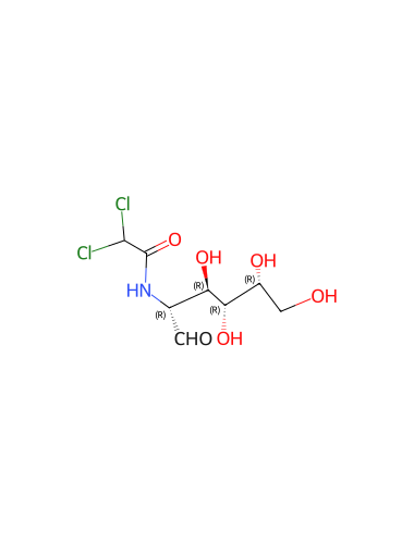 O=C[C@H](NC(=O)C(Cl)Cl)[C@@H](O)[C@@H](O)[C@H](O)CO